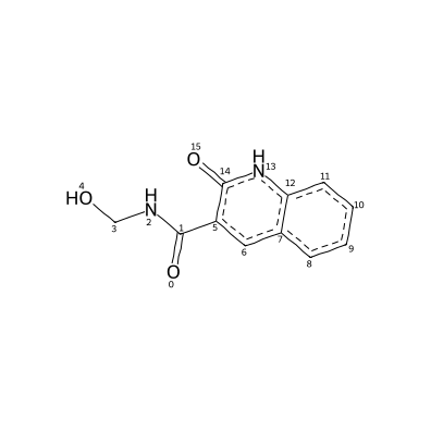 O=C(NCO)c1cc2ccccc2[nH]c1=O